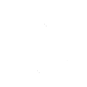 Brc1cncc(C2=CCC3CCNC23)c1